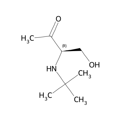 CC(=O)[C@@H](CO)NC(C)(C)C